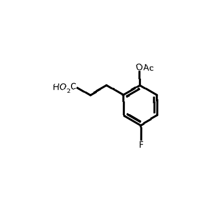 CC(=O)Oc1ccc(F)cc1CCC(=O)O